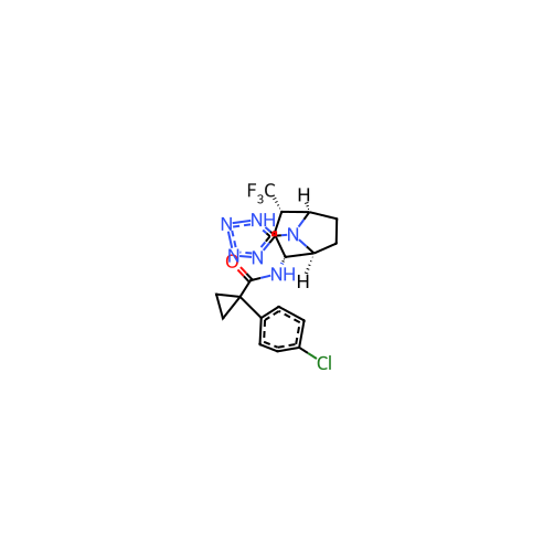 O=C(N[C@@H]1C[C@H](C(F)(F)F)[C@H]2CC[C@@H]1N2c1nnn[nH]1)C1(c2ccc(Cl)cc2)CC1